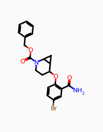 NC(=O)c1cc(Br)ccc1OC1CCN(C(=O)OCc2ccccc2)C2CC12